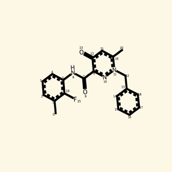 Cc1cccc(NC(=O)c2nn(Cc3ccccc3)c(C)cc2=O)c1F